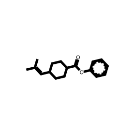 CC(C)=CC1CCC(C(=O)Oc2ccccc2)CC1